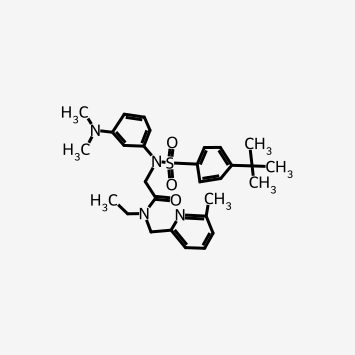 CCN(Cc1cccc(C)n1)C(=O)CN(c1cccc(N(C)C)c1)S(=O)(=O)c1ccc(C(C)(C)C)cc1